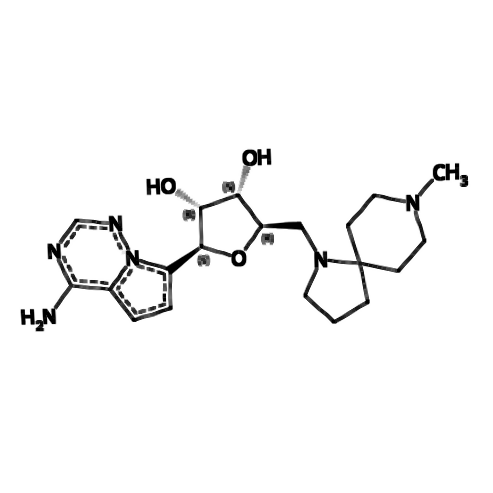 CN1CCC2(CCCN2C[C@H]2O[C@@H](c3ccc4c(N)ncnn34)[C@H](O)[C@@H]2O)CC1